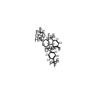 O=S(=O)(NC1CCC(C2C=C(F)C=CC2C(F)(F)F)(S(=O)(=O)c2ccc(C(F)(F)F)cc2)CC1)C(F)(F)F